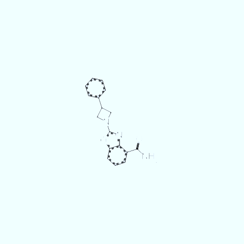 NC(=O)c1[c]ccc2oc(N3CC(c4ccccc4)C3)nc12